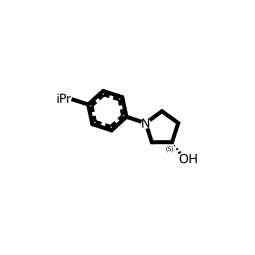 CC(C)c1ccc(N2CC[C@H](O)C2)cc1